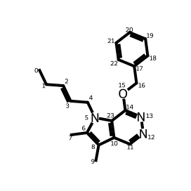 CC/C=C/Cn1c(C)c(C)c2cnnc(OCc3ccccc3)c21